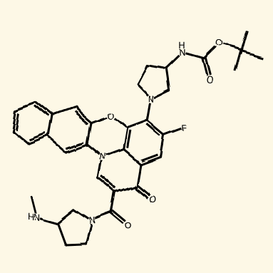 CNC1CCN(C(=O)c2cn3c4c(c(N5CCC(NC(=O)OC(C)(C)C)C5)c(F)cc4c2=O)Oc2cc4ccccc4cc2-3)C1